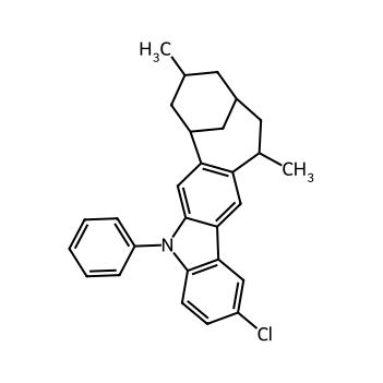 CC1CC2CC(C)c3cc4c5cc(Cl)ccc5n(-c5ccccc5)c4cc3C(C1)C2